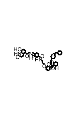 O=C(NCCCOc1cccc(C(O)(C(=O)OCC2CCN(Cc3ccccc3)CC2)c2ccccc2)c1)c1ccc(CNCC(O)c2ccc(O)c3[nH]c(=O)ccc23)c(F)c1F